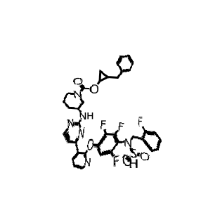 O=C(OC1CC1Cc1ccccc1)N1CCCC(Nc2nccc(-c3cccnc3Oc3cc(F)c(N(Cc4ccccc4F)[SH](=O)=O)c(F)c3F)n2)C1